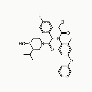 Cc1cc(Oc2ccccc2)ccc1N(C(=O)CCl)[C@H](C(=O)N1CCN(O)[C@H](C(C)C)C1)c1ccc(F)cc1